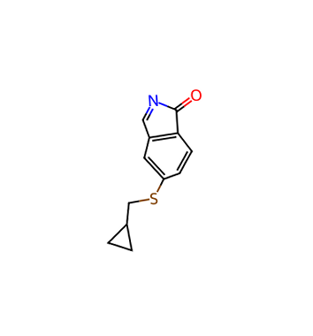 O=C1N=Cc2cc(SCC3CC3)ccc21